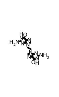 Nc1nc2c(ncn2CCn2cnc3c(=O)[nH]c(N)nc32)c(=O)[nH]1